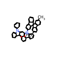 Cc1ccc2c(c1)C1(c3ccccc3-c3ccc(N(c4ccc5c6ccccc6n(-c6ccccc6)c5c4)c4ccccc4-c4ccccc4)cc31)c1cc(C)ccc1-2